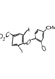 COc1ccc(Oc2c(I)cc(C(=O)O)cc2I)c(Cl)c1